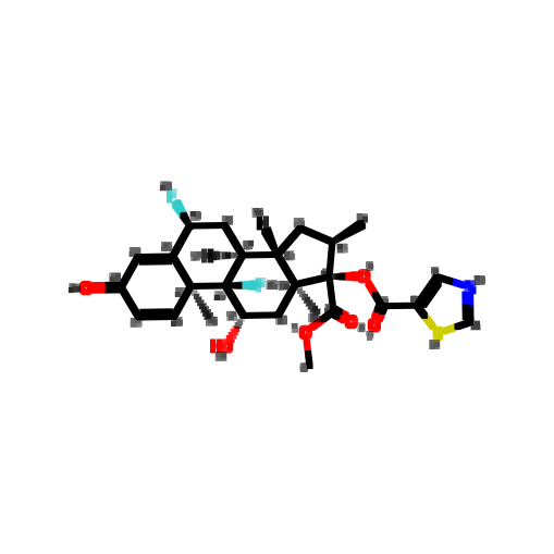 COC(=O)[C@@]1(OC(=O)c2cncs2)[C@H](C)C[C@H]2[C@@H]3C[C@H](F)C4=CC(=O)C=C[C@]4(C)[C@@]3(F)[C@@H](O)C[C@@]21C